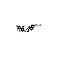 CCOc1cc(CN2CCC(N3CCc4nc(C(=O)O)ccc4C3=O)CC2)cc(OCC)c1-c1ccc(F)cc1